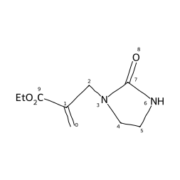 C=C(CN1CCNC1=O)C(=O)OCC